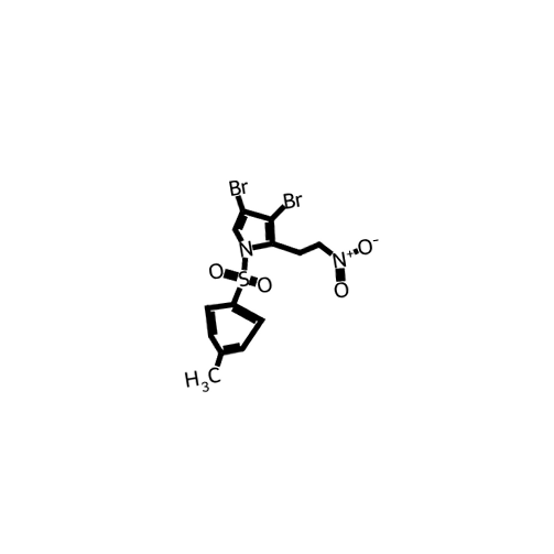 Cc1ccc(S(=O)(=O)n2cc(Br)c(Br)c2CC[N+](=O)[O-])cc1